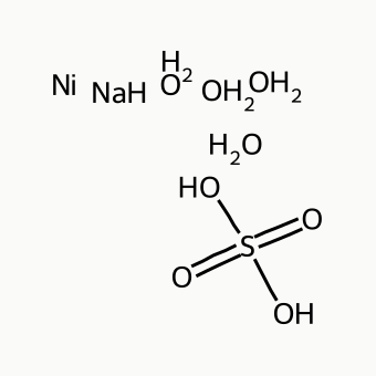 O.O.O.O.O=S(=O)(O)O.[NaH].[Ni]